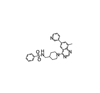 Cc1cc(-c2cccnc2)cc2c(N3CCC(CNS(=O)(=O)c4ccccc4)CC3)ncnc12